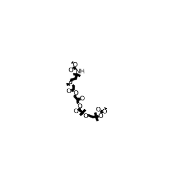 COC(=O)NC(C)(C)CCP(C)CC(=O)OCC(=O)COC(=O)C(C)(C)OCCC(C)(C)OC(=O)OC